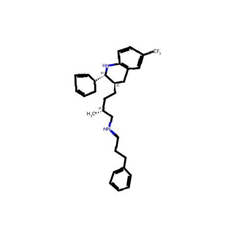 C[C@H](CC[C@@H]1Cc2cc(C(F)(F)F)ccc2N[C@H]1C1C=CC=CC1)CNCCCc1ccccc1